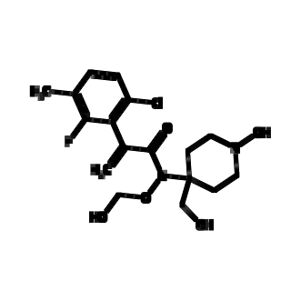 C=C(C(=O)N(OCO)C1(CO)CCN(O)CC1)c1c(Cl)ccc(C)c1F